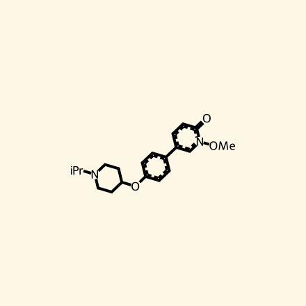 COn1cc(-c2ccc(OC3CCN(C(C)C)CC3)cc2)ccc1=O